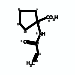 C=CC(=O)NC1(C(=O)O)CCCC1